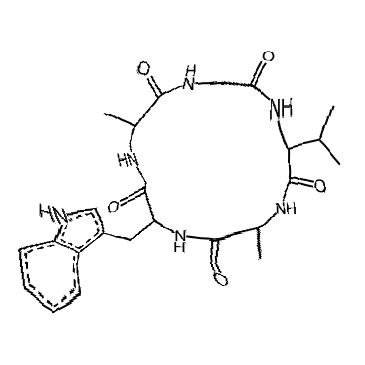 CC1NC(=O)C(Cc2c[nH]c3ccccc23)NC(=O)C(C)NC(=O)C(C(C)C)NC(=O)CNC1=O